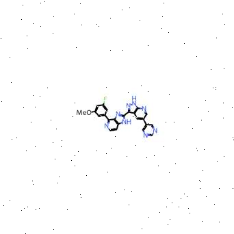 COc1cc(F)cc(-c2nccc3[nH]c(-c4n[nH]c5ncc(-c6cncnc6)cc45)nc23)c1